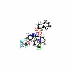 O=C(N[C@@](Cc1ccccc1)(c1cccc(OC(F)(F)C(F)F)c1)c1ccc(Cl)cn1)Oc1ccc2ccccc2c1